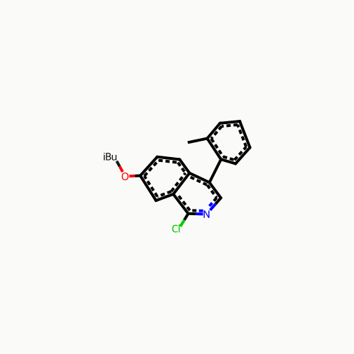 CCC(C)Oc1ccc2c(-c3ccccc3C)cnc(Cl)c2c1